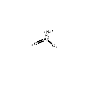 O=[AsH2][O-].[Na+]